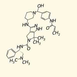 C=CC(=O)Nc1ccc(C(O)N2CCCC(Nc3n[nH]c4c3CN(C(=O)N[C@H](CN(C)C)c3ccccc3)C4(C)C)C2)cc1